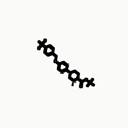 C[C@@H]1CN(c2ncc(OCc3ccc(S(C)(=O)=O)cc3)cn2)CCN1C(=O)OC(C)(C)C